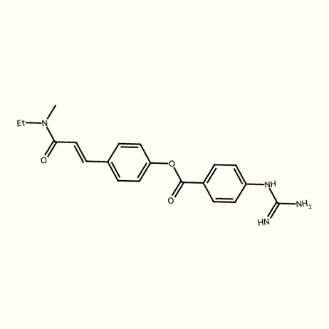 CCN(C)C(=O)/C=C/c1ccc(OC(=O)c2ccc(NC(=N)N)cc2)cc1